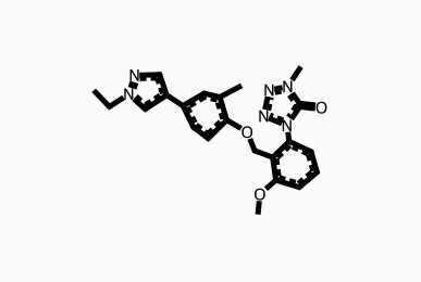 CCn1cc(-c2ccc(OCc3c(OC)cccc3-n3nnn(C)c3=O)c(C)c2)cn1